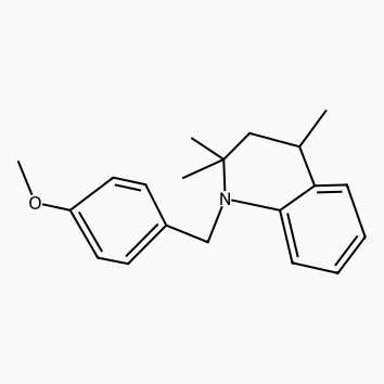 COc1ccc(CN2c3ccccc3C(C)CC2(C)C)cc1